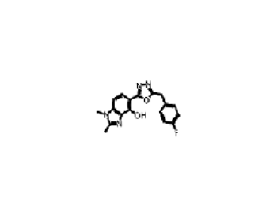 Cc1nc2c(O)c(-c3nnc(Cc4ccc(F)cc4)o3)ccc2n1C